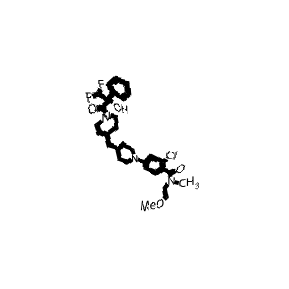 COCCN(C)C(=O)c1ccc(N2CCC(CC3CCN(C(=O)C(O)(c4ccccc4)C(F)F)CC3)CC2)cc1Cl